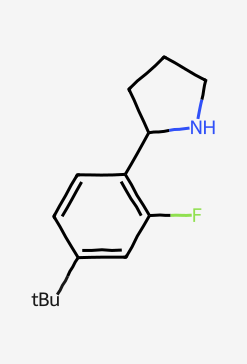 CC(C)(C)c1ccc(C2CCCN2)c(F)c1